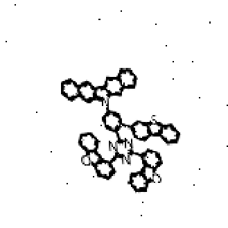 c1ccc2cc3c(cc2c1)c1cc2ccccc2cc1n3-c1ccc(-c2nc(-c3cccc4oc5ccccc5c34)nc(-c3cccc4oc5ccccc5c34)n2)c(-c2ccc3c(c2)sc2ccccc23)c1